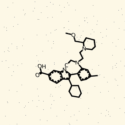 COCC1CCCCN1CCN1CCn2c(c(C3CCCCC3)c3ccc(C(=O)O)cc32)-c2ccc(C)cc21